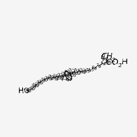 C=CCC(CCCCCCCCCCCCCCCCOCCCCCCCCCCCCCCCCCCO)C(=O)O